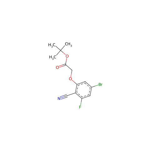 CC(C)(C)OC(=O)COc1cc(Br)cc(F)c1C#N